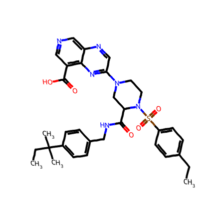 CCc1ccc(S(=O)(=O)N2CCN(c3cnc4cncc(C(=O)O)c4n3)CC2C(=O)NCc2ccc(C(C)(C)CC)cc2)cc1